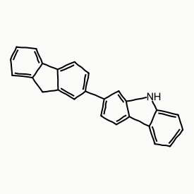 c1ccc2c(c1)Cc1cc(-c3ccc4c(c3)[nH]c3ccccc34)ccc1-2